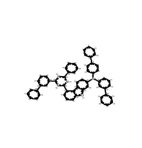 c1ccc(-c2ccc(N(c3cccc(-c4ccccc4)c3)c3ccc4c(c3)oc3cccc(-c5nc(-c6ccccc6)nc(-c6cccc(-c7ccccc7)c6)n5)c34)cc2)cc1